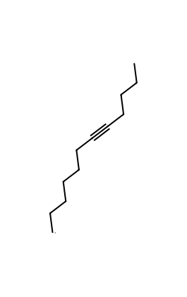 [CH2]CCCCCC#CCCCC